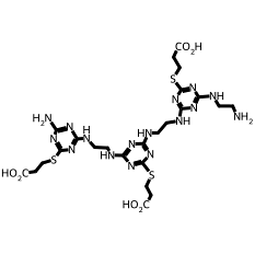 NCCNc1nc(NCCNc2nc(NCCNc3nc(N)nc(SCCC(=O)O)n3)nc(SCCC(=O)O)n2)nc(SCCC(=O)O)n1